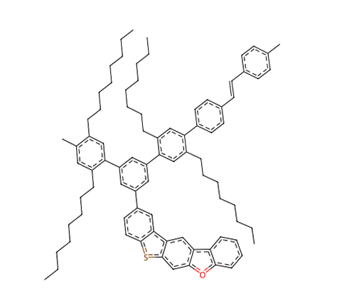 CCCCCCCCc1cc(-c2cc(-c3ccc4sc5cc6oc7ccccc7c6cc5c4c3)cc(-c3cc(CCCCCCCC)c(-c4ccc(/C=C/c5ccc(C)cc5)cc4)cc3CCCCCCCC)c2)c(CCCCCCCC)cc1C